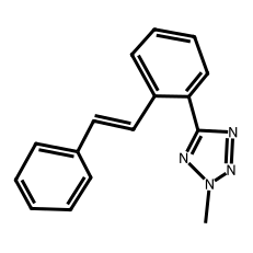 Cn1nnc(-c2ccccc2C=Cc2ccccc2)n1